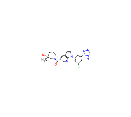 CC1(O)CCCN(C(=O)c2cnc3c(ccn3-c3cc(Cl)cc(-c4nnc[nH]4)c3)c2)C1